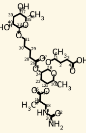 C[C@H](CCC(=O)O)O[C@@H]1O[C@@H](C)[C@H](OC(=O)[C@H](C)CNC(N)=O)C[C@H]1OC(=O)CCCCO[C@@H]1O[C@@H](C)[C@H](O)C[C@H]1O